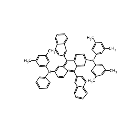 Cc1cc(C)cc(N(c2ccccc2)c2ccc3c(-c4ccc5ccccc5c4)c4cc(N(c5cc(C)cc(C)c5)c5cc(C)cc(C)c5)ccc4c(-c4ccc5ccccc5c4)c3c2)c1